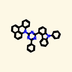 c1ccc(-c2nc(-c3cccc4c3c3ccccc3n4-c3ccccc3)nc(N3c4ccccc4-c4cccc5cccc3c45)n2)cc1